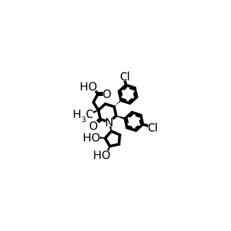 C[C@@]1(CC(=O)O)C[C@H](c2cccc(Cl)c2)[C@@H](c2ccc(Cl)cc2)N([C@H]2CC[C@@H](O)[C@H]2O)C1=O